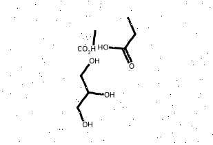 CC(=O)O.CCC(=O)O.OCC(O)CO